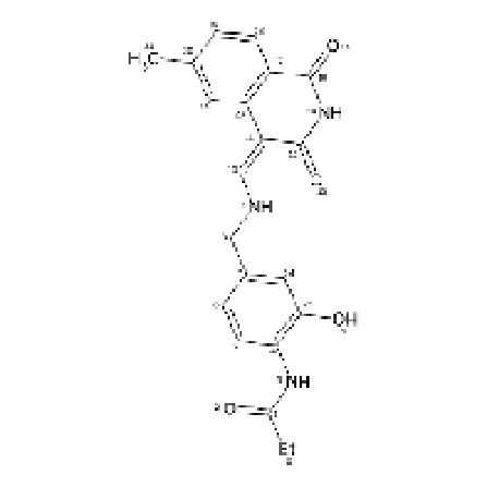 CCC(=O)Nc1ccc(CN/C=C2\C(=O)NC(=O)c3ccc(C)cc32)cc1O